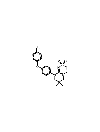 CC1(C)CN2CCS(=O)(=O)N=C2N(c2ccc(Oc3ccc(C(F)(F)F)cc3)cc2)C1